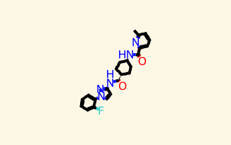 Cc1cccc(C(=O)N[C@H]2CC[C@@H](C(=O)Nc3ccn(-c4ccccc4F)n3)CC2)n1